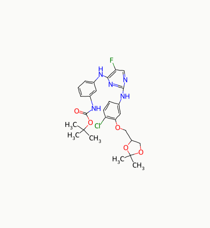 CC(C)(C)OC(=O)Nc1cccc(Nc2nc(Nc3ccc(Cl)c(OCC4COC(C)(C)O4)c3)ncc2F)c1